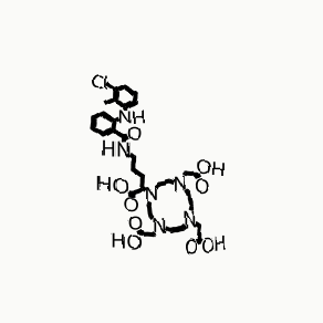 Cc1c(Cl)cccc1Nc1ccccc1C(=O)NCCCC(C(=O)O)N1CCN(CC(=O)O)CCN(CC(=O)O)CCN(CC(=O)O)CC1